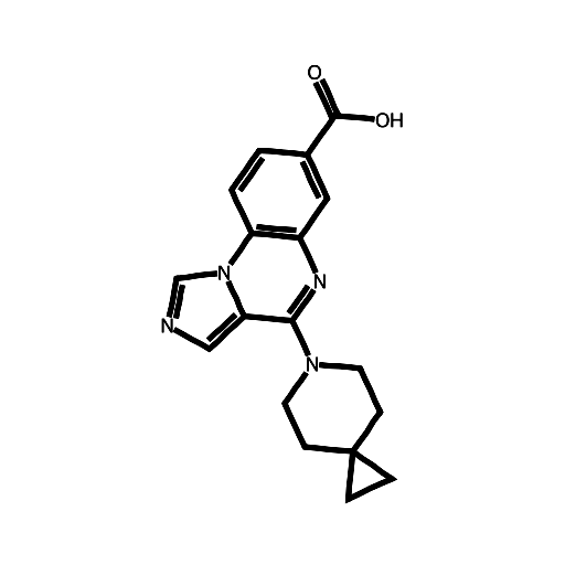 O=C(O)c1ccc2c(c1)nc(N1CCC3(CC1)CC3)c1cncn12